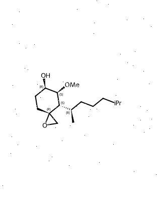 CO[C@H]1[C@H]([C@H](C)CCCC(C)C)[C@]2(CC[C@H]1O)CO2